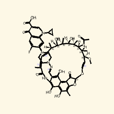 CO[C@H]1/C=C/O[C@@]2(C)Oc3c(C)c(O)c4c(O)c(c(/C=N/N5CCN(c6cc7c(cc6F)c(=O)c(C(=O)O)cn7C6CC6)CC5)c(O)c4c3C2=O)NC(=O)/C(C)=C\C=C\[C@H](C)[C@H](O)[C@@H](C)[C@@H](O)[C@@H](C)[C@H](OC(C)=O)[C@@H]1C